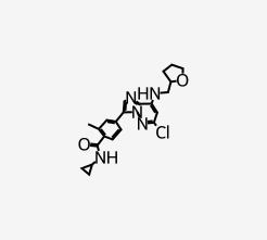 Cc1cc(-c2cnc3c(NCC4CCCO4)cc(Cl)nn23)ccc1C(=O)NC1CC1